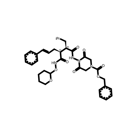 CC(C)C[C@@H](C(=O)NN1C(=O)CN(C(=O)OCc2ccccc2)CC1=O)[C@H](CC=Cc1ccccc1)C(=O)NOC1CCCCO1